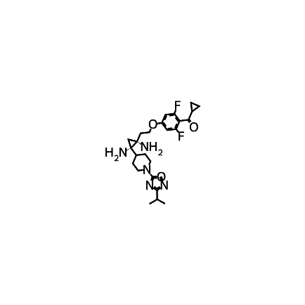 CC(C)c1noc(N2CCC([C@@]3(N)C[C@@]3(N)CCOc3cc(F)c(C(=O)C4CC4)c(F)c3)CC2)n1